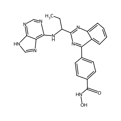 CCC(Nc1ncnc2[nH]cnc12)c1nc(-c2ccc(C(=O)NO)cc2)c2ccccc2n1